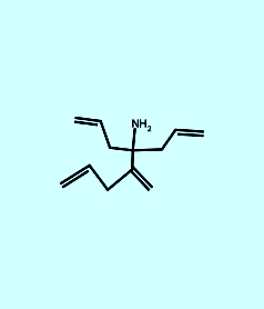 C=CCC(=C)C(N)(CC=C)CC=C